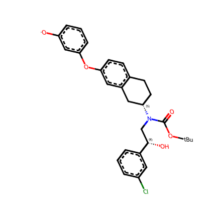 CC(C)(C)OC(=O)N(C[C@H](O)c1cccc(Cl)c1)[C@H]1CCc2ccc(Oc3cccc([O])c3)cc2C1